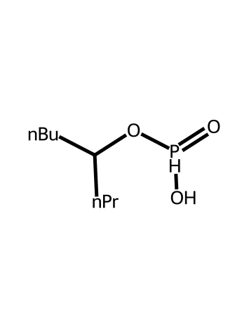 CCCCC(CCC)O[PH](=O)O